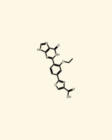 CCOc1cc(-c2nc(C(=O)O)co2)ccc1-c1nc2[nH]cnc2c(=O)[nH]1